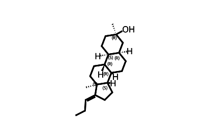 CCC=C1CC[C@H]2[C@@H]3CC[C@@H]4C[C@](C)(O)CC[C@@H]4[C@H]3CC[C@]12C